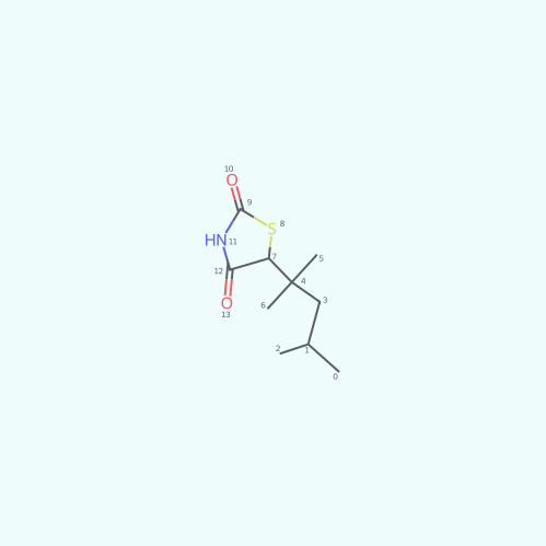 CC(C)CC(C)(C)C1SC(=O)NC1=O